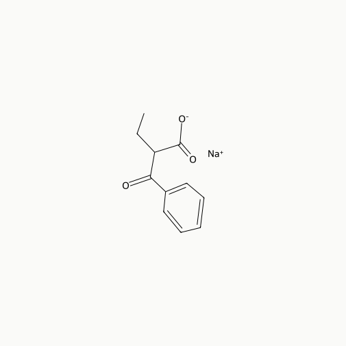 CCC(C(=O)[O-])C(=O)c1ccccc1.[Na+]